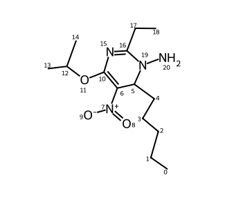 CCCCCC1C([N+](=O)[O-])=C(OC(C)C)N=C(CC)N1N